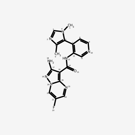 Cc1ncn(C)c1-c1ccncc1NC(=O)c1c(N)nn2cc(F)cnc12